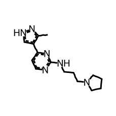 Cc1n[nH]cc1-c1ccnc(NCCCN2CCCC2)n1